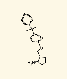 CC(C)(c1ccccc1)c1ccc(OC[C@H]2CCC[C@H]2N)cc1